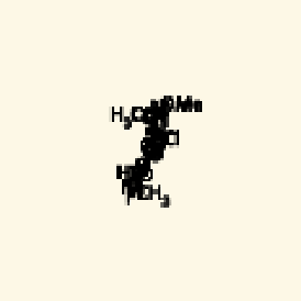 COc1cnc2c(-c3nc4c(Cl)cc5c(c4s3)OC[C@H](COC(=O)Nc3cnc(F)c(C)c3)O5)cc(C)cc2n1